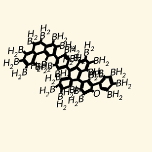 Bc1c(B)c(-c2c3c(B)c(B)c(B)c(B)c3c(-c3c(B)c(B)c4oc5c(B)c(B)c(B)c(B)c5c4c3B)c3c(B)c(B)c(B)c(B)c23)c(B)c(B)c1-c1c(B)c(B)c2c(B)c(B)c3c(B)c(B)c(B)c(B)c3c2c1B